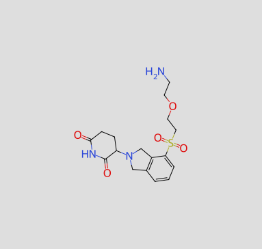 NCCOCCS(=O)(=O)c1cccc2c1CN(C1CCC(=O)NC1=O)C2